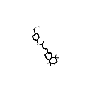 CC1(C)CCC(C)(C)c2cc(/C=C/C(=O)Oc3ccc(CO)cc3)ccc21